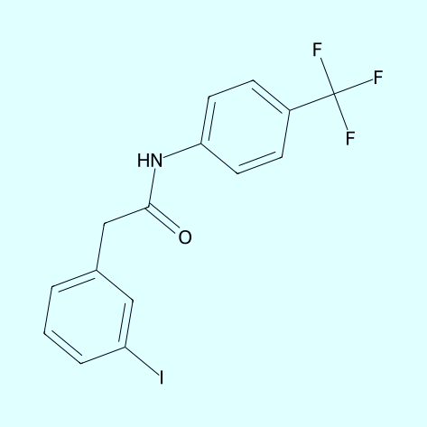 O=C(Cc1cccc(I)c1)Nc1ccc(C(F)(F)F)cc1